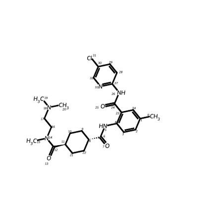 Cc1ccc(NC(=O)[C@H]2CC[C@H](C(=O)N(C)CCN(C)C)CC2)c(C(=O)Nc2ccc(Cl)cn2)c1